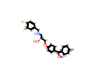 O[C@H](CNCc1ccc(F)c(F)c1)COc1ccc(-c2onc3cc(F)ccc23)cc1